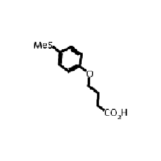 CSc1ccc(OCCCC(=O)O)cc1